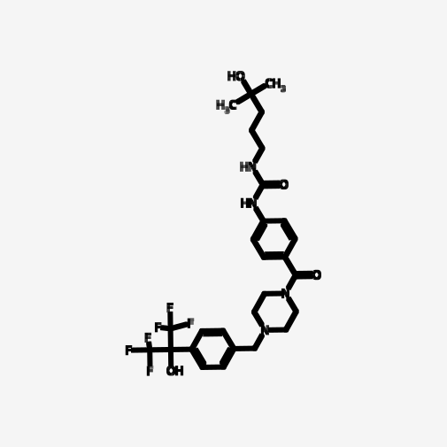 CC(C)(O)CCCNC(=O)Nc1ccc(C(=O)N2CCN(Cc3ccc(C(O)(C(F)(F)F)C(F)(F)F)cc3)CC2)cc1